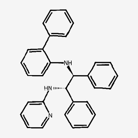 c1ccc(-c2ccccc2N[C@@H](c2ccccc2)[C@@H](Nc2ccccn2)c2ccccc2)cc1